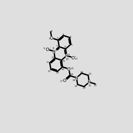 COc1cccc2c1[n+]([O-])c1cccc(OC(=O)N3CCN(C)CC3)c1[n+]2[O-]